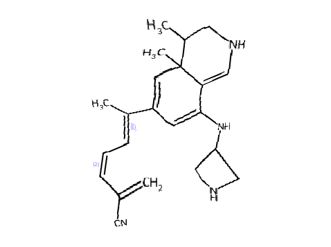 C=C(C#N)/C=C\C=C(/C)C1=CC2(C)C(=CNCC2C)C(NC2CNC2)=C1